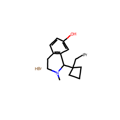 Br.CC(C)CC1(C2c3cc(O)ccc3CCN2C)CCC1